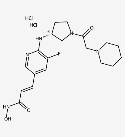 Cl.Cl.O=C(C=Cc1cnc(N[C@@H]2CCN(C(=O)CN3CCCCC3)C2)c(F)c1)NO